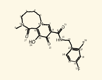 CN1CCCCn2cc(C(=O)NCc3ccc(F)cc3F)c(=O)c(O)c2C1=O